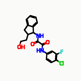 O=C(Nc1ccc(Cl)c(F)c1)C(=O)NC1c2ccccc2CC1CCO